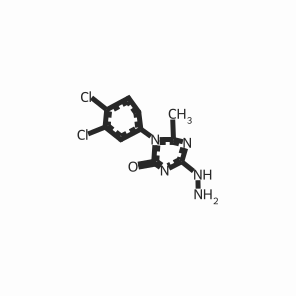 Cc1nc(NN)nc(=O)n1-c1ccc(Cl)c(Cl)c1